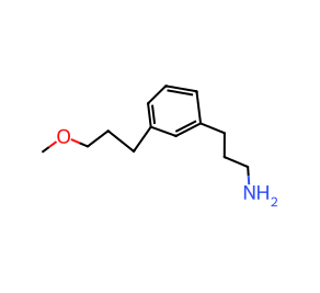 COCCCc1cccc(CCCN)c1